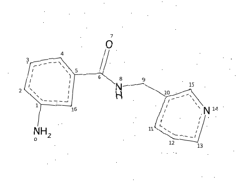 Nc1c[c]cc(C(=O)NCc2cccnc2)c1